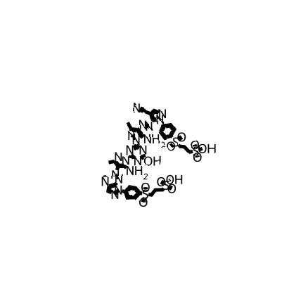 C=Nc1cnn(-c2ccc(S(=O)(=O)CCCS(=O)(=O)O)cc2)c1N=Nc1c(C)nn(-c2nc(O)nc(-n3nc(C)c(N=Nc4c(C#N)cnn4-c4ccc(S(=O)(=O)CCCS(=O)(=O)O)cc4)c3N)n2)c1N